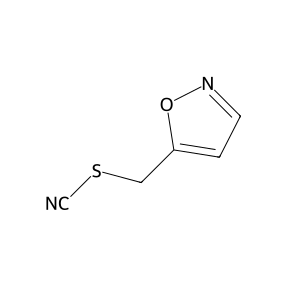 N#CSCc1ccno1